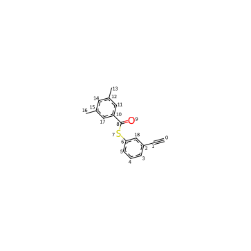 C#Cc1cccc(SC(=O)c2cc(C)cc(C)c2)c1